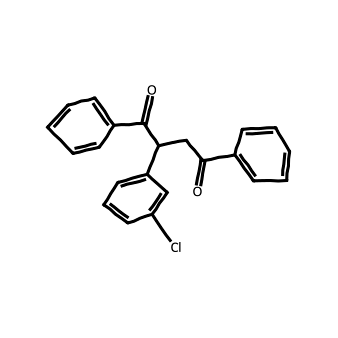 O=C(CC(C(=O)c1ccccc1)c1cccc(Cl)c1)c1ccccc1